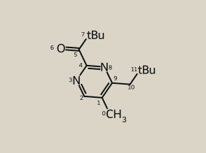 Cc1cnc(C(=O)C(C)(C)C)nc1CC(C)(C)C